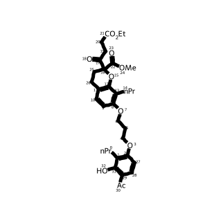 CCCc1c(OCCCOc2ccc3c(c2CCC)OC(C(=O)CCC(=O)OCC)(C(=O)OC)CC3)ccc(C(C)=O)c1O